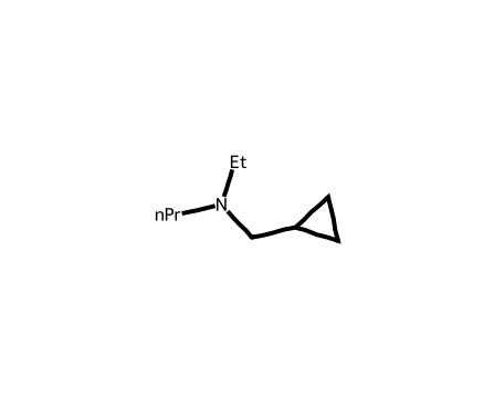 CCCN(CC)CC1CC1